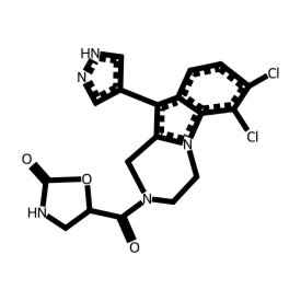 O=C1NCC(C(=O)N2CCn3c(c(-c4cn[nH]c4)c4ccc(Cl)c(Cl)c43)C2)O1